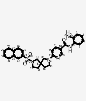 Nc1ccccc1NC(=O)c1ccc(N2CCC3(CCN(S(=O)(=O)c4ccc5ccccc5c4)C3)C2)nc1